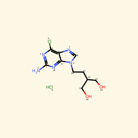 Cl.Nc1nc(Cl)c2ncn(CCC(CO)CO)c2n1